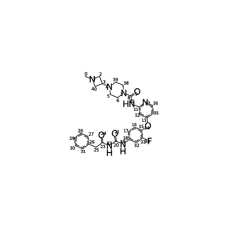 CN1CC(N2CCN(C(=O)Nc3cc(Oc4ccc(NC(=O)NC(=O)Cc5ccccc5)cc4F)ccn3)CC2)C1